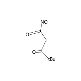 CC(C)(C)C(=O)CC(=O)N=O